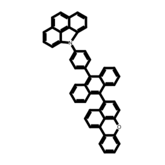 c1ccc2c(c1)Oc1ccc(-c3c4ccccc4c(-c4ccc(-n5c6cccc7ccc8cccc5c8c76)cc4)c4ccccc34)c3cccc-2c13